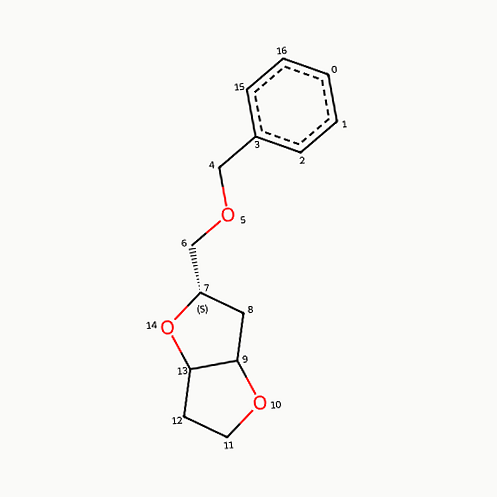 c1ccc(COC[C@@H]2CC3OCCC3O2)cc1